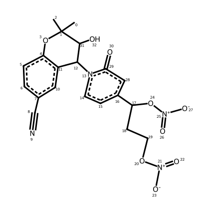 CC1(C)Oc2ccc(C#N)cc2C(n2ccc(C(CCO[N+](=O)[O-])O[N+](=O)[O-])cc2=O)C1O